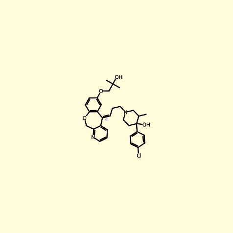 CC1CN(CC/C=C2\c3cc(OCC(C)(C)O)ccc3OCc3ncccc32)CCC1(O)c1ccc(Cl)cc1